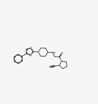 N#CC1CCCN1C(=O)CNC1CCN(c2nc(-c3ccccc3)cs2)CC1